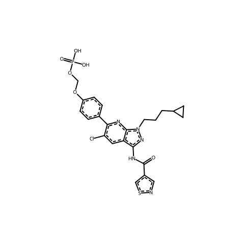 O=C(Nc1nn(CCCC2CC2)c2nc(-c3ccc(OCOP(=O)(O)O)cc3)c(Cl)cc12)c1cnsc1